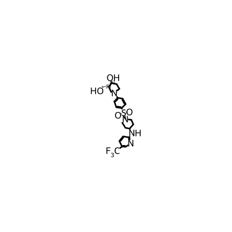 O=S(=O)(c1ccc(N2CC[C@H](O)[C@@H](CO)C2)cc1)N1CCC(Nc2ccc(C(F)(F)F)cn2)CC1